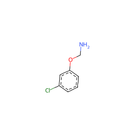 NCOc1cccc(Cl)c1